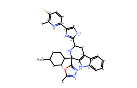 COC1CCC(C2(c3nnc(C)o3)NC(c3nc(-c4ccc(F)c(C)n4)c[nH]3)Cc3c2[nH]c2ccccc32)CC1